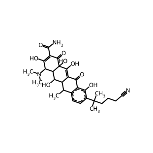 CC1c2ccc(C(C)(C)CCCC#N)c(O)c2C(=O)C2=C(O)C3(O)C(=O)C(C(N)=O)=C(O)C(N(C)C)C3C(O)C21